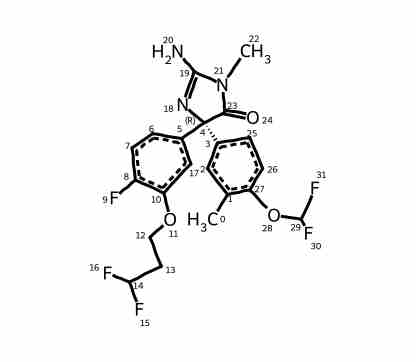 Cc1cc([C@]2(c3ccc(F)c(OCCC(F)F)c3)N=C(N)N(C)C2=O)ccc1OC(F)F